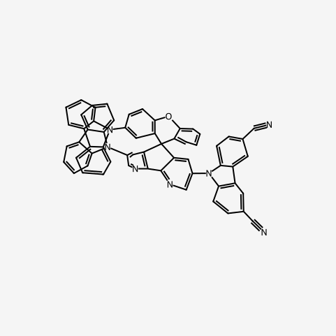 N#Cc1ccc2c(c1)c1cc(C#N)ccc1n2-c1cnc2c(c1)C1(c3ccccc3Oc3ccc(-n4c5ccccc5c5ccccc54)cc31)c1cc(-n3c4ccccc4c4ccccc43)cnc1-2